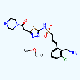 CC(C)(C)OC=O.NCc1c(Cl)cccc1C=CCS(=O)(=O)Nc1nnc(CC(=O)N2CCNCC2)s1